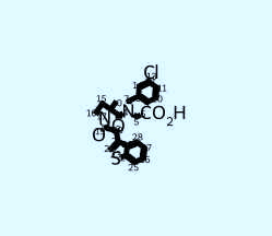 CC1(C(=O)N(CC(=O)O)Cc2cccc(Cl)c2)CCN1C(=O)Cc1csc2ccccc12